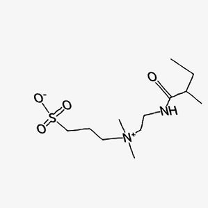 CCC(C)C(=O)NCC[N+](C)(C)CCCS(=O)(=O)[O-]